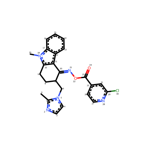 Cc1nccn1CC1CCc2c(c3ccccc3n2C)/C1=N/OC(=O)c1ccnc(Cl)c1